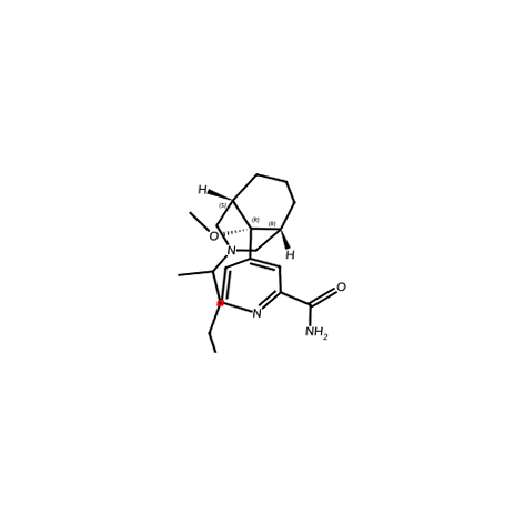 CCCC(C)N1C[C@H]2CCC[C@@H](C1)[C@]2(OC)c1ccnc(C(N)=O)c1